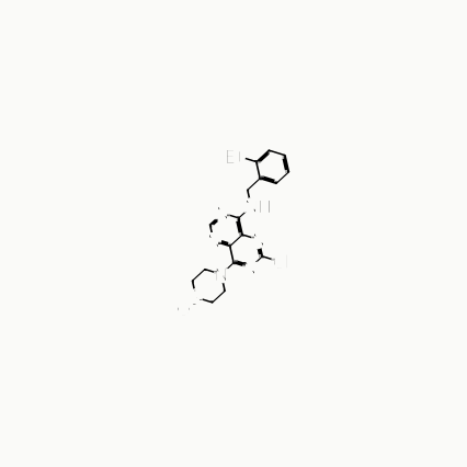 CCc1ccccc1CNc1ncnc2c(N3CC[S+]([O-])CC3)nc(Cl)nc12